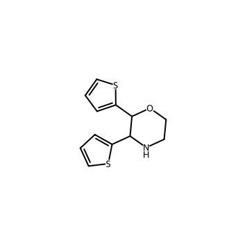 c1csc(C2NCCOC2c2cccs2)c1